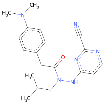 CC(C)CN(Nc1ccnc(C#N)n1)C(=O)Cc1ccc(N(C)C)cc1